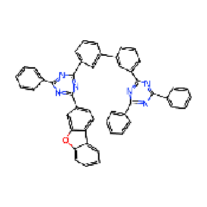 c1ccc(-c2nc(-c3ccccc3)nc(-c3cccc(-c4cccc(-c5nc(-c6ccccc6)nc(-c6ccc7c(c6)oc6ccccc67)n5)c4)c3)n2)cc1